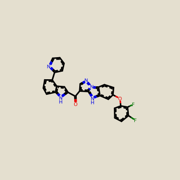 O=C(c1cc2c(-c3ccccn3)cccc2[nH]1)c1cnn2c1[nH]c1cc(Oc3cccc(F)c3F)ccc12